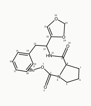 CC(C)(C)OC(=O)N1CCCC1C(=O)NC(Cc1ccccc1)C1=COCO1